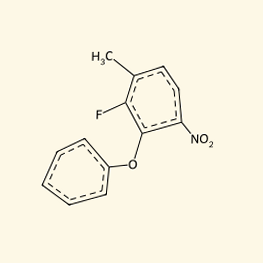 Cc1ccc([N+](=O)[O-])c(Oc2ccccc2)c1F